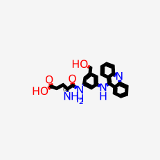 N[C@@H](CCC(=O)O)C(=O)Nc1cc(CO)cc(Nc2c3ccccc3nc3ccccc23)c1